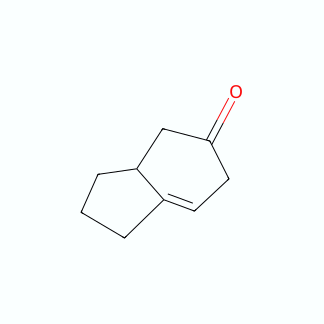 O=C1CC=C2CCCC2C1